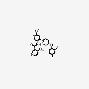 COc1cc(N2CCC(Oc3ccc(F)cc3F)CC2)c(NC(=O)c2cnccc2OC)cn1